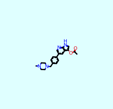 CC(=O)Oc1c[nH]c2ncc(-c3ccc(CN4CCN(C)CC4)cc3)cc12